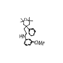 COc1cccc(NCCC2(c3ccccc3)CC(C)(C)OC(C)(C)C2)c1